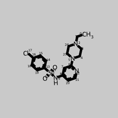 CCN1CCN(c2cc(NS(=O)(=O)c3ccc(Cl)cc3)ccn2)CC1